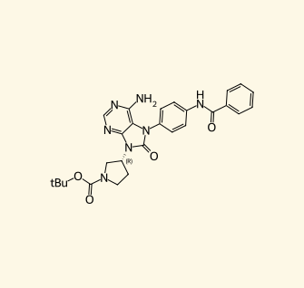 CC(C)(C)OC(=O)N1CC[C@@H](n2c(=O)n(-c3ccc(NC(=O)c4ccccc4)cc3)c3c(N)ncnc32)C1